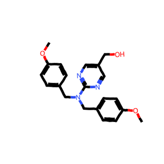 COc1ccc(CN(Cc2ccc(OC)cc2)c2ncc(CO)cn2)cc1